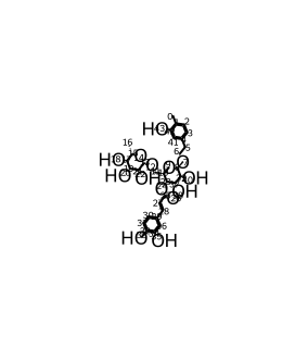 Cc1ccc(CCO[C@@H]2O[C@H](CO[C@@H]3O[C@@H](C)[C@H](O)[C@@H](O)[C@H]3O)[C@@H](OC(=O)/C=C/c3ccc(O)c(O)c3)[C@H](O)[C@H]2O)cc1O